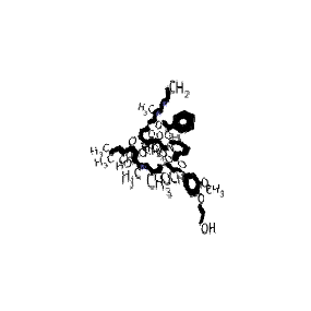 C=C/C=C/C=C(\C)C(C[C@@H]1CC[C@@H](C)[C@](O)(C(=O)C(=O)N2CCCCC2C(=O)O[C@@H](CC(=O)[C@H](C)/C=C(\C)[C@@H](O)[C@@H](OC)C(=O)[C@H](C)CC(C)C)[C@H](C)C[C@@H]2CC[C@@H](OCCCO)[C@H](OC)C2)O1)OC[C@@H](O)c1ccccc1